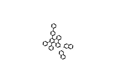 c1ccc(-c2ccc(-c3cc(-c4ccccc4)c(-c4ccccc4)c4c5ccc(N(c6ccc7ccccc7c6)c6ccc7ccccc7c6)cc5c5ccccc5c34)cc2)cc1